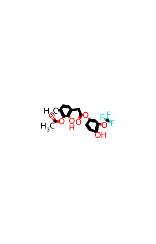 CC(=O)Oc1c(C)ccc(CC(=O)Oc2ccc(O)c(OC(F)(F)F)c2)c1O